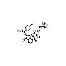 CCC1CCN(C(N)=O)CC1.CN(C)c1cccc2c(S(=O)(=O)N[C@@H](CCCNC(=N)N)C(=O)O)cccc12